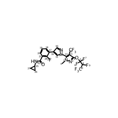 Cn1nc(OC(F)(F)C(F)C(F)(F)F)c(C(F)(F)F)c1-n1cc(-c2cccc(C(=O)NC3CC3)c2F)cn1